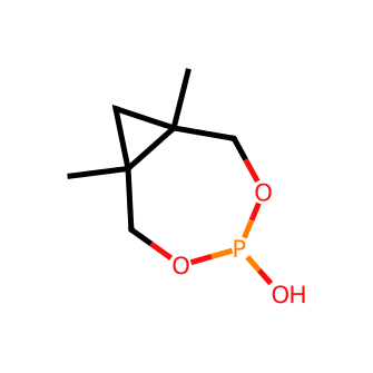 CC12COP(O)OCC1(C)C2